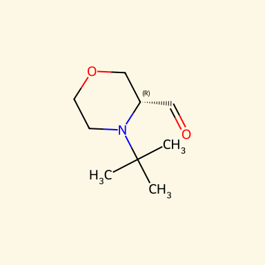 CC(C)(C)N1CCOC[C@@H]1C=O